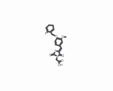 COc1cc(/C=C2\SC(=S)N(CC(=O)O)C2=O)ccc1OCC1=CCCC=C1F